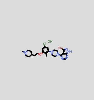 Cc1c(OCCC2CCN(C)CC2)cc(Cl)cc1N1CCN(c2ncnc3[nH]nc(Br)c23)CC1.Cl